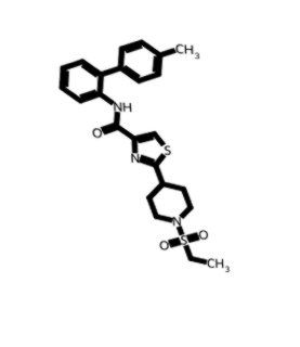 CCS(=O)(=O)N1CCC(c2nc(C(=O)Nc3ccccc3-c3ccc(C)cc3)cs2)CC1